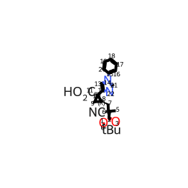 CC(C)(C)OC(=O)C(C)(C#N)C[C@H]1C[C@]1(C(=O)O)c1cn(-c2ccccc2)cn1